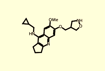 COc1cc2c(NCC3CC3)c3c(nc2cc1OCC1CNOC1)CCC3